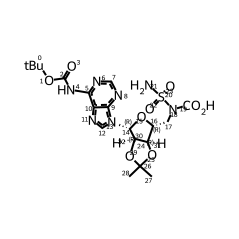 CC(C)(C)OC(=O)Nc1ncnc2c1ncn2[C@@H]1O[C@H](CN(C(=O)O)S(N)(=O)=O)[C@H]2OC(C)(C)O[C@H]21